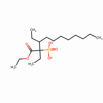 CCCCCCCCC(CC)C(CC)(C(=O)OCC)P(=O)(O)O